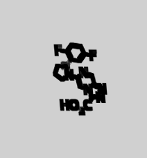 O=C(O)c1nnc2cnc(N3CCC[C@@H]3c3cc(F)ccc3F)cn12